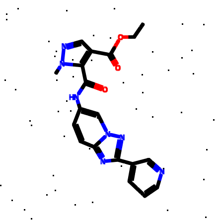 CCOC(=O)c1cnn(C)c1C(=O)Nc1ccc2nc(-c3cccnc3)nn2c1